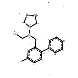 CC(C)CN(Cc1cc(F)ccc1-c1ccccc1)[C@H]1CCNC1